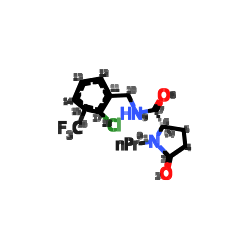 CCCN1C(=O)CC[C@H]1C(=O)NCc1cccc(C(F)(F)F)c1Cl